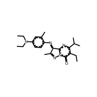 CCc1c(C(C)C)nc2n(c1=O)N=C(C)C2=Nc1ccc(N(CC)CC)cc1C